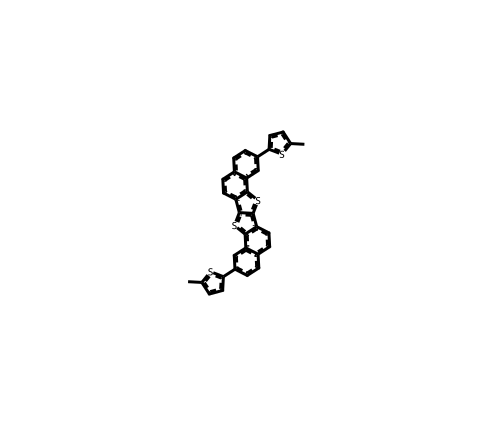 Cc1ccc(-c2ccc3ccc4c(sc5c6ccc7ccc(-c8ccc(C)s8)cc7c6sc45)c3c2)s1